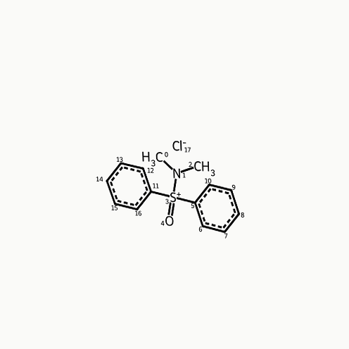 CN(C)[S+](=O)(c1ccccc1)c1ccccc1.[Cl-]